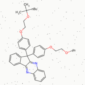 CCCCC(C)(C)OCCOc1ccc(C2(c3ccc(OCCOC(C)C)cc3)c3ccccc3-c3nc4ccccc4nc32)cc1